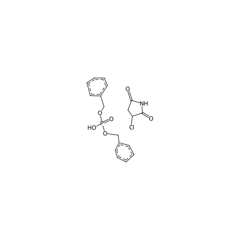 O=C1CC(Cl)C(=O)N1.O=P(O)(OCc1ccccc1)OCc1ccccc1